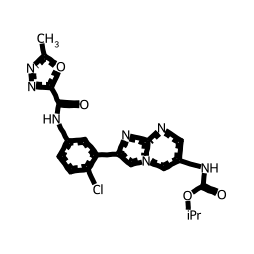 Cc1nnc(C(=O)Nc2ccc(Cl)c(-c3cn4cc(NC(=O)OC(C)C)cnc4n3)c2)o1